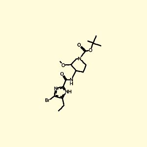 CCc1[nH]c(C(=O)NC2CCN(C(=O)OC(C)(C)C)CC2OC)nc1Br